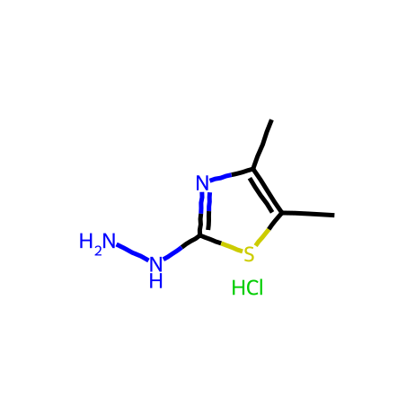 Cc1nc(NN)sc1C.Cl